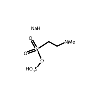 CNCCS(=O)(=O)OS(=O)(=O)O.[NaH]